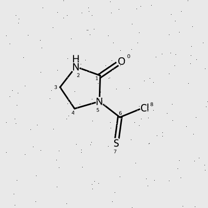 O=C1NCCN1C(=S)Cl